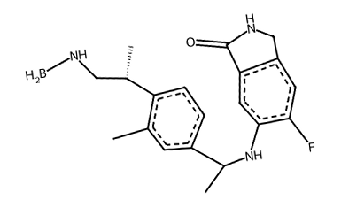 BNC[C@H](C)c1ccc(C(C)Nc2cc3c(cc2F)CNC3=O)cc1C